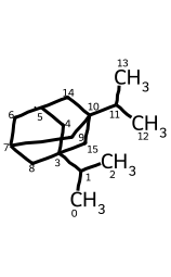 CC(C)C12C[C]3CC(C1)CC(C(C)C)(C3)C2